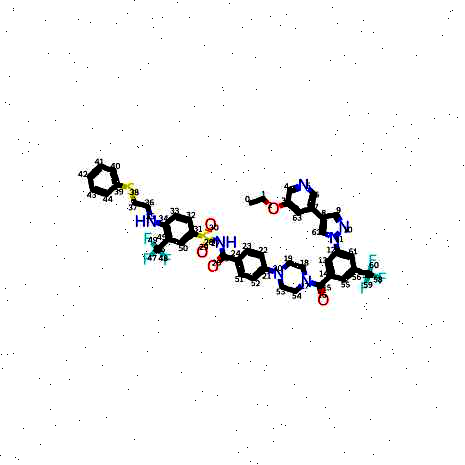 CCOc1cncc(-c2cnn(-c3cc(C(=O)N4CCN(c5ccc(C(=O)NS(=O)(=O)c6ccc(NCCSc7ccccc7)c(C(F)(F)F)c6)cc5)CC4)cc(C(F)(F)F)c3)c2)c1